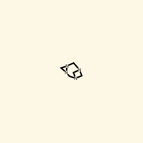 C1N2CN1CN1CN1C2